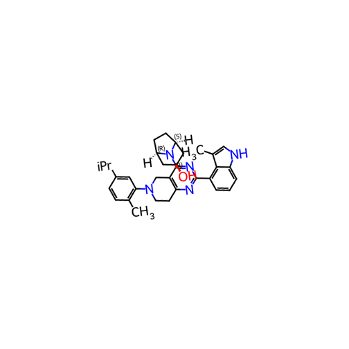 Cc1ccc(C(C)C)cc1N1CCc2nc(-c3cccc4[nH]cc(C)c34)nc(N3[C@@H]4CC[C@H]3C[C@@H](O)C4)c2C1